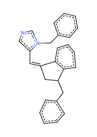 C(=C1\CC(Cc2ccccc2)c2ccccc21)/c1cncn1Cc1ccccc1